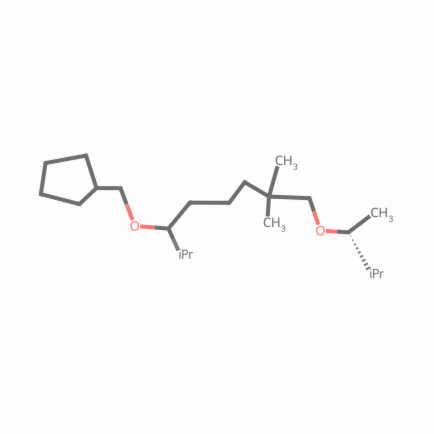 CC(C)C(CCCC(C)(C)CO[C@H](C)C(C)C)OCC1CCCC1